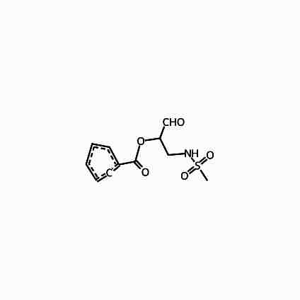 CS(=O)(=O)NCC(C=O)OC(=O)c1ccccc1